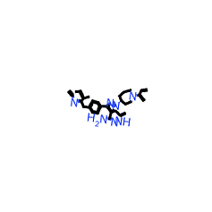 C#C/N=C(Cc1ccc(-c2nn([C@@H]3CCCN(C(=C)C=C)CC3)c3c2C(N)=NNC3=C)cc1)\C(C)=C/C